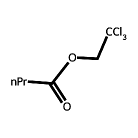 [CH2]CCC(=O)OCC(Cl)(Cl)Cl